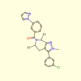 CCC1Cc2c(nn(C)c2-c2cccc(Cl)c2)C(CC)N1C(=O)c1cccc(-n2cccn2)c1